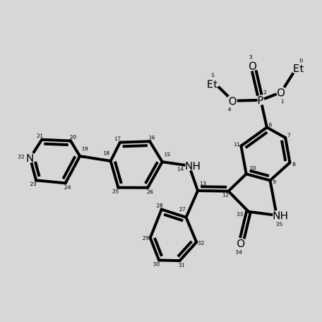 CCOP(=O)(OCC)c1ccc2c(c1)C(=C(Nc1ccc(-c3ccncc3)cc1)c1ccccc1)C(=O)N2